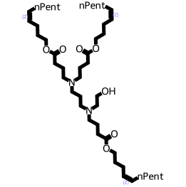 CCCCC/C=C\CCCOC(=O)CCCN(CCO)CCCN(CCCC(=O)OCCC/C=C\CCCCC)CCCC(=O)OCCC/C=C\CCCCC